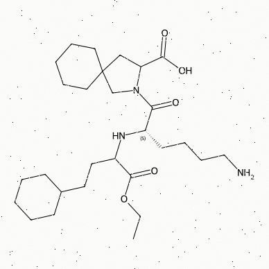 CCOC(=O)C(CCC1CCCCC1)N[C@@H](CCCCN)C(=O)N1CC2(CCCCC2)CC1C(=O)O